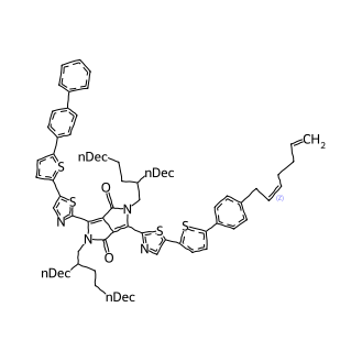 C=CCC/C=C\Cc1ccc(-c2ccc(-c3cnc(C4=C5C(=O)N(CC(CCCCCCCCCC)CCCCCCCCCCCC)C(c6ncc(-c7ccc(-c8ccc(-c9ccccc9)cc8)s7)s6)=C5C(=O)N4CC(CCCCCCCCCC)CCCCCCCCCCCC)s3)s2)cc1